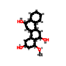 CCOc1cc(O)cc2c1c(O)cc1c3ccccc3c(O)cc21